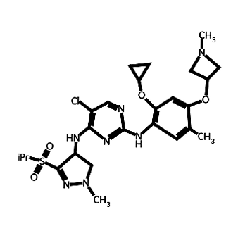 Cc1cc(Nc2ncc(Cl)c(NC3CN(C)N=C3S(=O)(=O)C(C)C)n2)c(OC2CC2)cc1OC1CN(C)C1